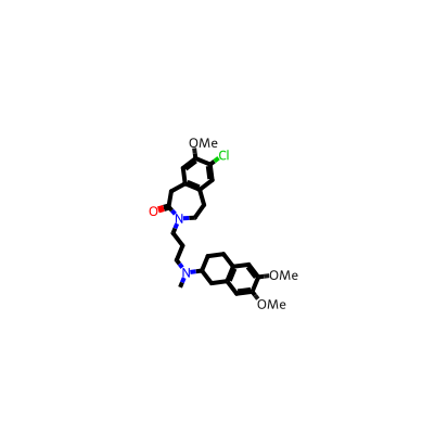 COc1cc2c(cc1Cl)CCN(CCCN(C)C1CCc3cc(OC)c(OC)cc3C1)C(=O)C2